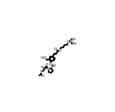 CC(=O)SC[C@@H](C)C(=O)N1CCC[C@H]1C(=O)Oc1ccc(/C=C/C(=O)OCCCCON(O)O)cc1CO